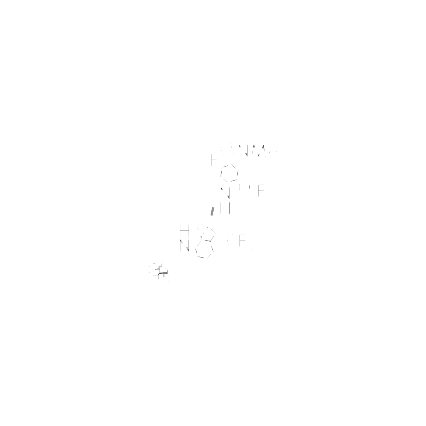 CNC(=O)c1cc(OCF)c(NCC#Cc2sc3c(NC4CCS(=O)(=O)CC4)cccc3c2CC(F)(F)F)cc1F